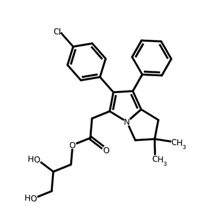 CC1(C)Cc2c(-c3ccccc3)c(-c3ccc(Cl)cc3)c(CC(=O)OCC(O)CO)n2C1